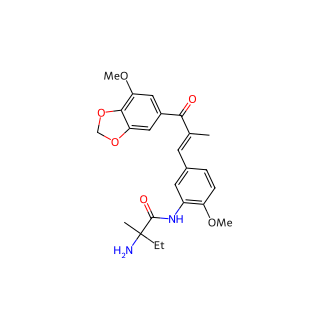 CCC(C)(N)C(=O)Nc1cc(C=C(C)C(=O)c2cc(OC)c3c(c2)OCO3)ccc1OC